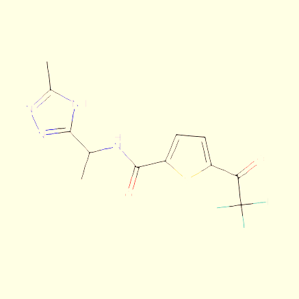 Cc1nnc(C(C)NC(=O)c2ccc(C(=O)C(F)(F)F)s2)[nH]1